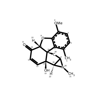 COc1ccc(C)c2c1O[C@H]1C(=O)C=C[C@@]3(O)[C@H]4C(C[C@]213)N4C